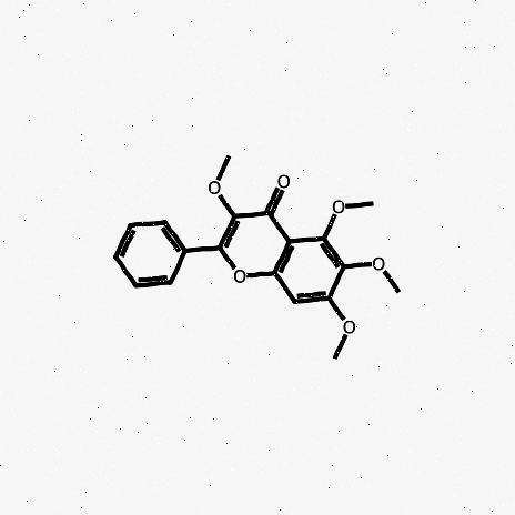 COc1cc2oc(-c3ccccc3)c(OC)c(=O)c2c(OC)c1OC